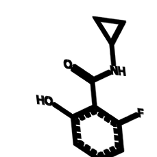 O=C(NC1CC1)c1c(O)cccc1F